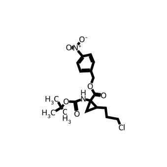 CC(C)(C)OC(=O)NC1(C(=O)OCc2ccc([N+](=O)[O-])cc2)CC1CCCCl